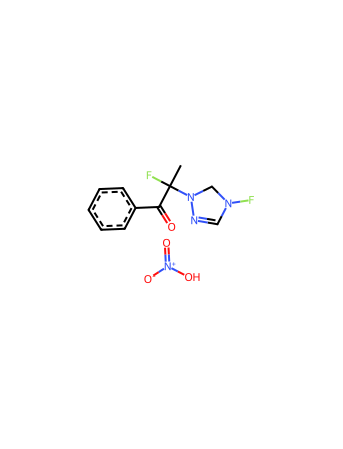 CC(F)(C(=O)c1ccccc1)N1CN(F)C=N1.O=[N+]([O-])O